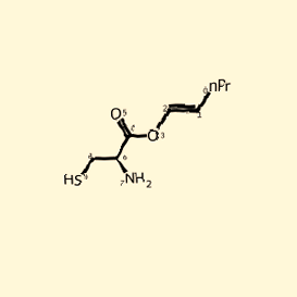 CCCC=COC(=O)[C@@H](N)CS